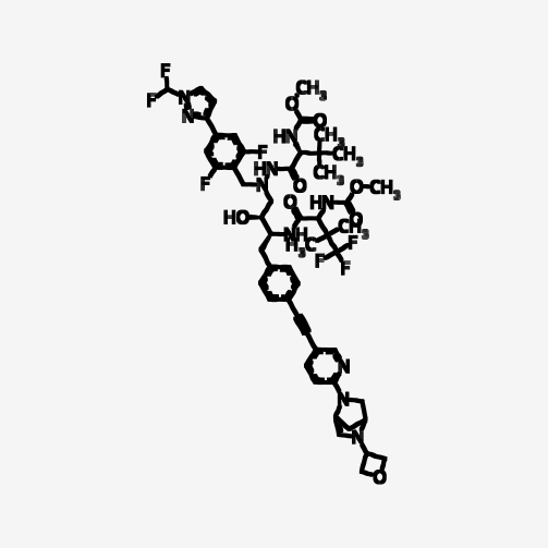 COC(=O)NC(C(=O)N[C@@H](Cc1ccc(C#Cc2ccc(N3CC4CC3=CN4C3COC3)nc2)cc1)[C@@H](O)CN(Cc1c(F)cc(-c2ccn(C(F)F)n2)cc1F)NC(=O)[C@@H](NC(=O)OC)C(C)(C)C)C(C)(C)C(F)(F)F